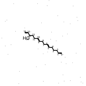 C=CCCCC=CCCC=CCCC(O)C=C